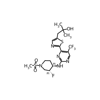 CC(C)(O)Cc1cnc(-c2nc(N[C@@H]3CCN(S(C)(=O)=O)C[C@H]3F)ncc2C(F)(F)F)s1